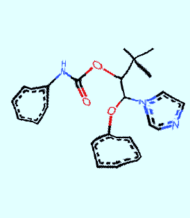 CC(C)(C)C(OC(=O)Nc1ccccc1)C(Oc1ccccc1)n1ccnc1